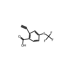 C#Cc1cc(SC(F)(F)F)ccc1C(=O)O